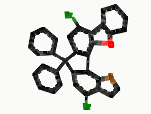 Brc1cc2c(c3sccc13)-c1c(cc(Br)c3c1oc1ccccc13)C2(c1ccccc1)c1ccccc1